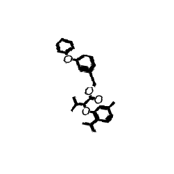 Cc1ccc(C(C)C)c(OC(C(=O)OCc2cccc(Oc3ccccc3)c2)C(C)C)c1